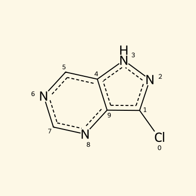 Clc1n[nH]c2cncnc12